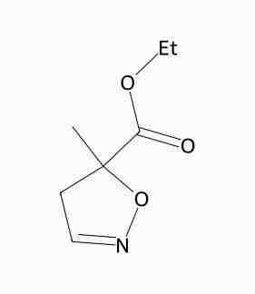 CCOC(=O)C1(C)CC=NO1